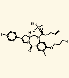 C=CCOC(=O)N1c2cc(OCCCI)c(C)cc2C(=O)N2C=C(c3ccc(F)cc3)C[C@H]2[C@@H]1O[Si](C)(C)C(C)(C)C